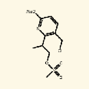 COc1ccc(CCl)c(C(C)COS(C)(=O)=O)n1